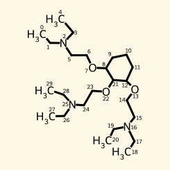 CCN(CC)CCOC1CCCC(OCCN(CC)CC)C1OCCN(CC)CC